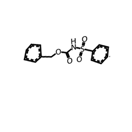 O=C(NS(=O)(=O)c1cc[c]cc1)OCc1ccccc1